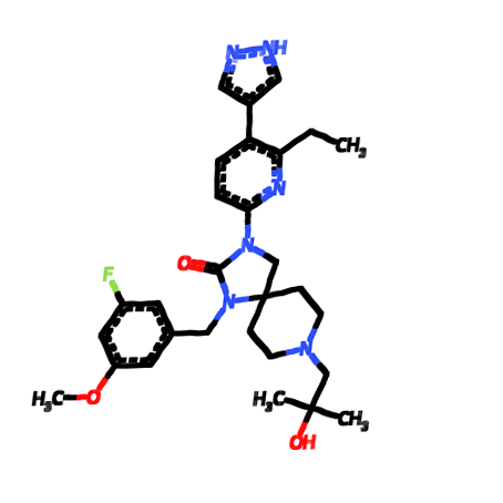 CCc1nc(N2CC3(CCN(CC(C)(C)O)CC3)N(Cc3cc(F)cc(OC)c3)C2=O)ccc1-c1cn[nH]c1